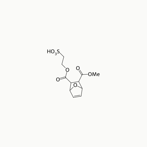 COC(=O)C1C2C=CC(O2)C1C(=O)OCCS(=O)(=O)O